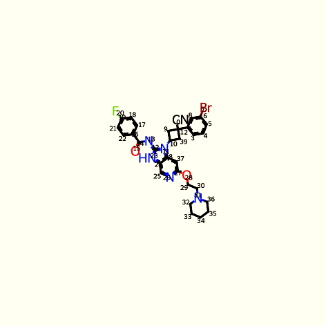 N#CC1(c2cccc(Br)c2)CC(n2/c(=N/C(=O)c3ccc(F)cc3)[nH]c3cnc(OCCN4CCCCC4)cc32)C1